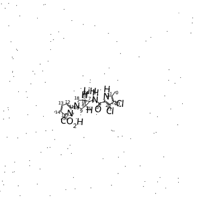 Cc1[nH]c(C(=O)NC2[C@H]3CN(c4cccc(C(=O)O)n4)C[C@@H]23)c(Cl)c1Cl.[LiH]